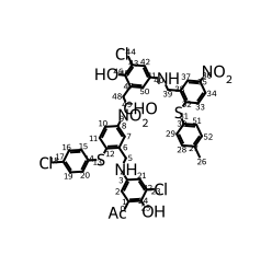 CC(=O)c1cc(NCc2cc([N+](=O)[O-])ccc2Sc2ccc(Cl)cc2)cc(Cl)c1O.Cc1ccc(Sc2ccc([N+](=O)[O-])cc2CNc2cc(Cl)c(O)c(CC=O)c2)cc1